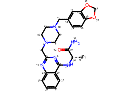 CC(C)[C@H](Nc1nc(CN2CCN(Cc3ccc4c(c3)OCO4)CC2)nc2ccccc12)C(N)=O